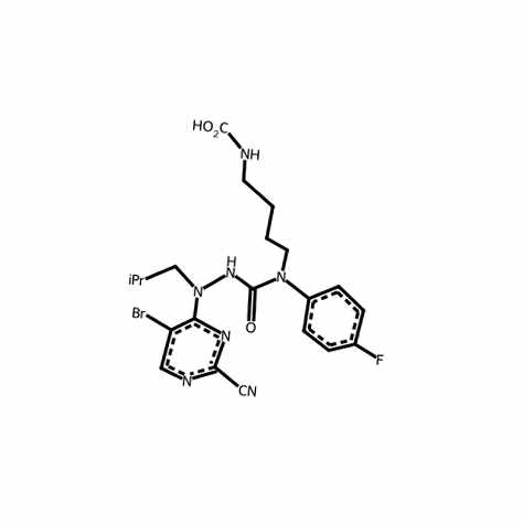 CC(C)CN(NC(=O)N(CCCCNC(=O)O)c1ccc(F)cc1)c1nc(C#N)ncc1Br